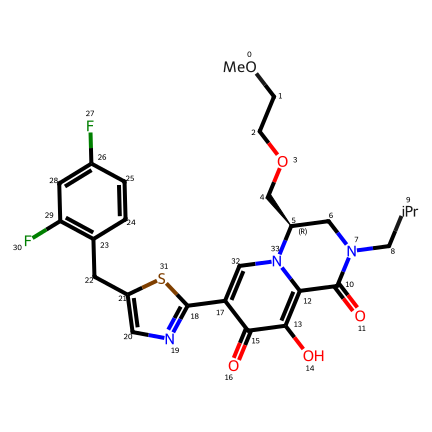 COCCOC[C@H]1CN(CC(C)C)C(=O)c2c(O)c(=O)c(-c3ncc(Cc4ccc(F)cc4F)s3)cn21